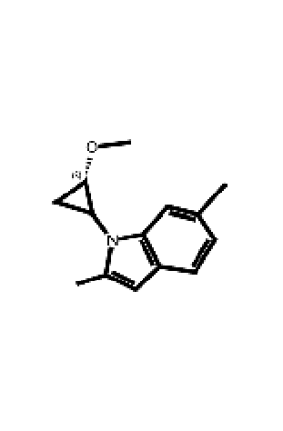 CO[C@H]1CC1n1c(C)cc2ccc(C)cc21